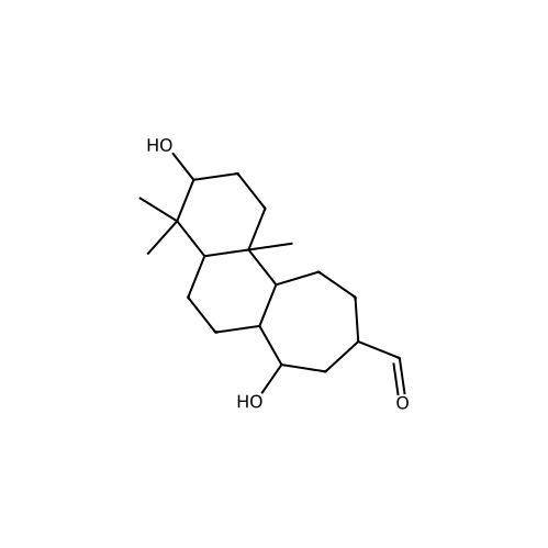 CC1(C)C(O)CCC2(C)C3CCC(C=O)CC(O)C3CCC12